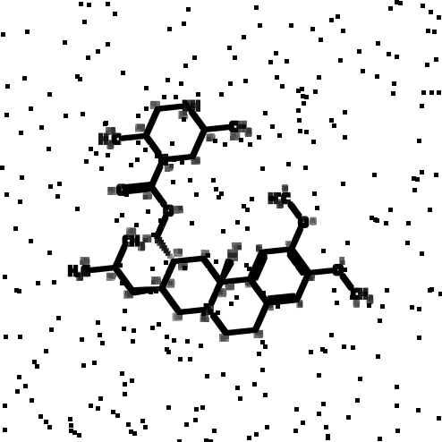 COc1cc2c(cc1OC)[C@H]1C[C@@H](COC(=O)N3CC(C)NCC3C)[C@H](CC(C)C)CN1CC2